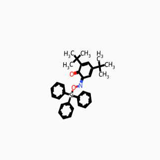 CC(C)(C)C1=CC(=NO[Si](c2ccccc2)(c2ccccc2)c2ccccc2)C(=O)C(C(C)(C)C)=C1